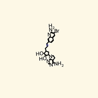 Nc1nc2cc(/C=C/CC3CC(N4CCc5c(N)ncnc54)[C@@H](O)C3O)ccc2cc1Br